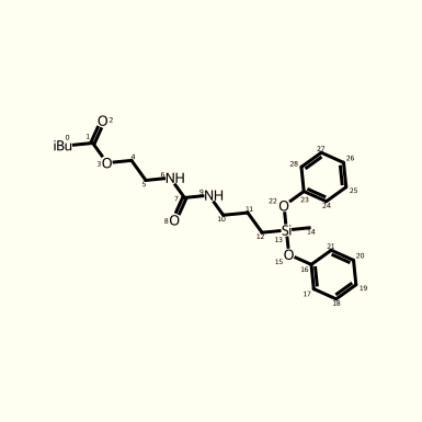 CCC(C)C(=O)OCCNC(=O)NCCC[Si](C)(Oc1ccccc1)Oc1ccccc1